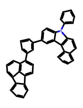 c1ccc(-n2c3ccc(-c4cccc(-c5ccc6c7c(cccc57)-c5ccccc5-6)c4)cc3c3c4ccccc4ccc32)cc1